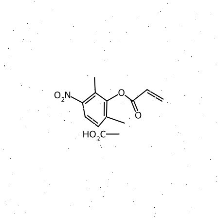 C=CC(=O)Oc1c(C)ccc([N+](=O)[O-])c1C.CC(=O)O